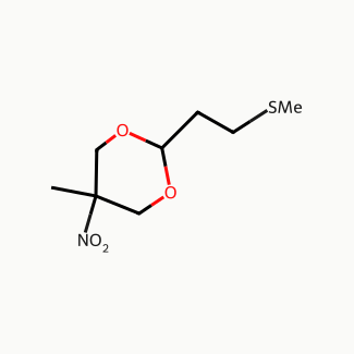 CSCCC1OCC(C)([N+](=O)[O-])CO1